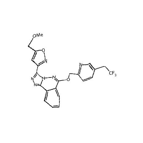 COCc1cc(-c2nnc3c4ccccc4c(OCc4ccc(CC(F)(F)F)cn4)nn23)no1